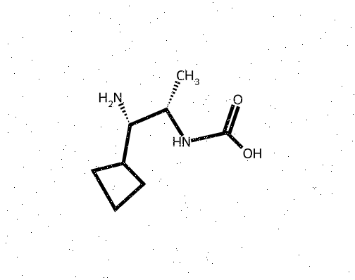 C[C@H](NC(=O)O)[C@@H](N)C1CCC1